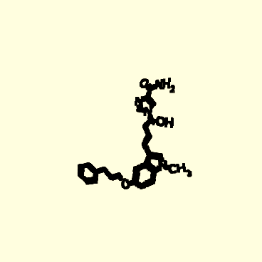 Cn1cc(CCC[C@@H](O)n2cnc(C(N)=O)c2)c2cc(OCCCc3ccccc3)ccc21